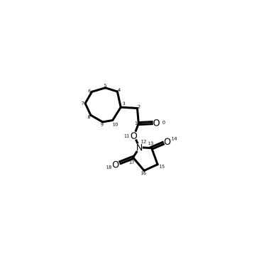 O=C(CC1CCCCCCC1)ON1C(=O)CCC1=O